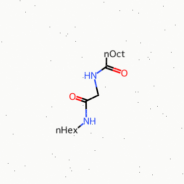 CCCCCCCCC(=O)NCC(=O)NCCCCCC